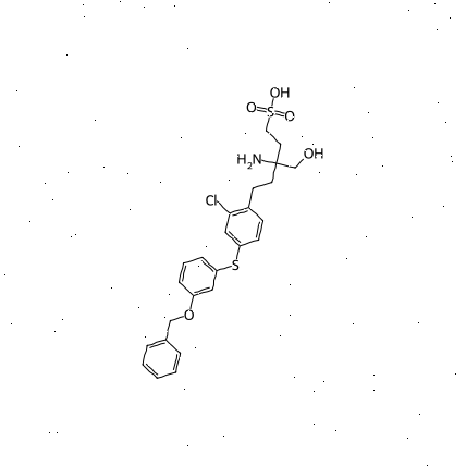 NC(CO)(CCc1ccc(Sc2cccc(OCc3ccccc3)c2)cc1Cl)CCS(=O)(=O)O